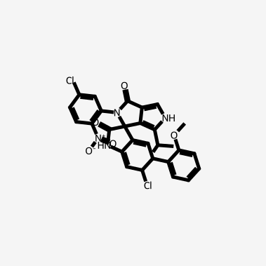 COc1ccccc1C1C=C2C(=CC1Cl)NC(=O)C21c2c(c[nH]c2C(C)C)C(=O)N1c1cc(Cl)ccc1[N+](=O)[O-]